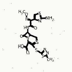 CON=C(C(=O)NC1C(=O)N2C(C(=O)O)=C(Sc3nnc(C)s3)SCC12)c1csc(N)n1